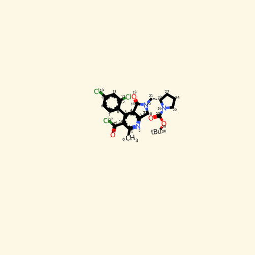 Cc1nc2c(c(-c3ccc(Cl)cc3Cl)c1C(=O)Cl)C(=O)N(C[C@@H]1CCCN1C(=O)OC(C)(C)C)C2